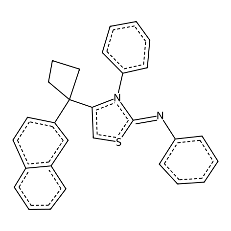 c1ccc(N=c2scc(C3(c4ccc5ccccc5c4)CCC3)n2-c2ccccc2)cc1